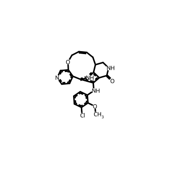 COc1c(Cl)cccc1Nc1c2[nH]c3c1C(=O)NCC3C/C=C\COc1cnccc1-2